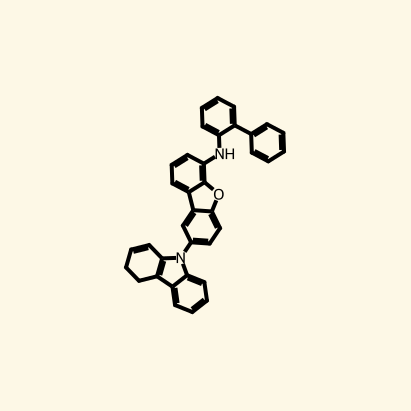 C1=Cc2c(c3ccccc3n2-c2ccc3oc4c(Nc5ccccc5-c5ccccc5)cccc4c3c2)CC1